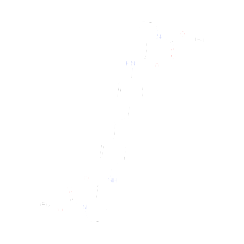 CC(C)(C)OC(=O)N1CCCC1C(=O)Nc1ccc(/C=C/c2ccc(NC(=O)C3CCCN3C(=O)OC(C)(C)C)cc2)cc1